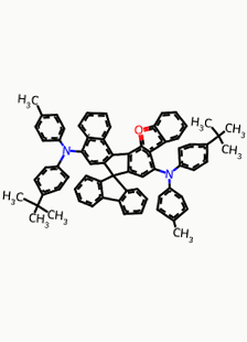 Cc1ccc(N(c2ccc(C(C)(C)C)cc2)c2cc3c(c4ccccc24)-c2c(cc(N(c4ccc(C)cc4)c4ccc(C(C)(C)C)cc4)c4c2oc2ccccc24)C32c3ccccc3-c3ccccc32)cc1